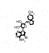 CN1CCC2(CCCN2C[C@H]2O[C@@H](n3cc(Br)c4c(N)ncnc43)[C@H](O)[C@@H]2O)CC1